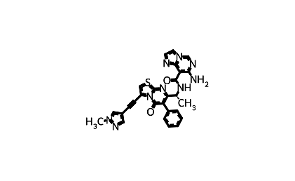 C[C@@H](NC(=O)c1c(N)ncn2ccnc12)c1nc2scc(C#Cc3cnn(C)c3)n2c(=O)c1-c1ccccc1